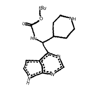 CC(C)(C)OC(=O)NC(c1ncnc2[nH]ccc12)C1CCNCC1